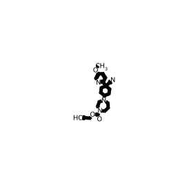 C#CCOC(=O)N1CCCN(C2CCC(C#N)(c3ccc(OC)cn3)CC2)CC1